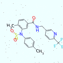 Cc1ccc(N(c2cc(C(=O)NCc3ccc(C(F)(F)F)nc3)ccc2C)[SH](=O)=O)cc1